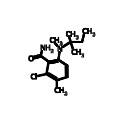 CCC(C)(C)N(C)c1ccc(C)c(Cl)c1C(N)=O